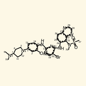 COc1cc(N2CCC(N(C)C)CC2)ccc1Nc1ncc(Br)c(Nc2ccc3nccnc3c2N(C)S(C)(=O)=O)n1